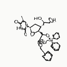 Cc1cn([C@H]2C[C@H](CC(O)CO)[C@@H](C(COCc3ccccc3)O[Si](c3ccccc3)(c3ccccc3)C(C)(C)C)O2)c(=O)[nH]c1=O